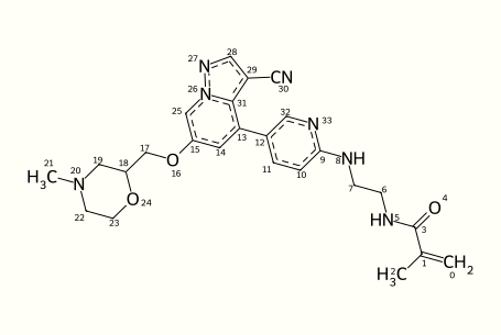 C=C(C)C(=O)NCCNc1ccc(-c2cc(OCC3CN(C)CCO3)cn3ncc(C#N)c23)cn1